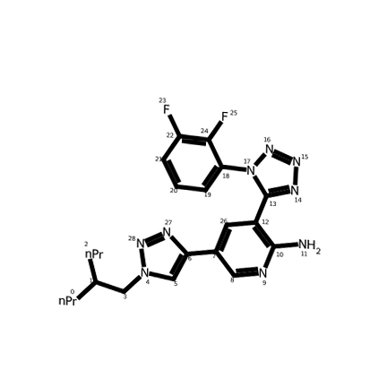 CCCC(CCC)Cn1cc(-c2cnc(N)c(-c3nnnn3-c3cccc(F)c3F)c2)nn1